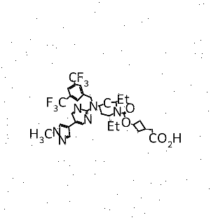 CC[C@@H]1C[C@H](N(Cc2cc(C(F)(F)F)cc(C(F)(F)F)c2)c2ncc(-c3cnn(C)c3)cn2)C[C@H](CC)N1C(=O)O[C@H]1C[C@H](CC(=O)O)C1